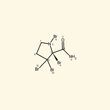 NC(=O)[C@@]1(Br)N(Br)CCC1(Br)Br